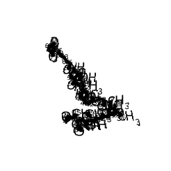 CC[C@H](CC(=O)N(C)c1cc(C/C(C)=C/C=C/[C@@H](OC)[C@@]2(O)C[C@@H](C(C)C3CO3)OC(=O)N2)cc(OC)c1Cl)OC(=O)CCc1ccc(/C(C)=N/NC(=O)c2ccc(NC(=O)CCCCCN3C(=O)C=CC3=O)cc2S(=O)(=O)O)cc1